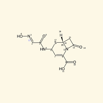 O=C(/C=N/O)NC1C=C(C(=O)O)N2C(=O)C[C@H]2S1